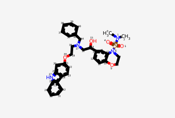 CN(C)S(=O)(=O)N1CCOc2ccc(C(O)CN(CCOc3ccc4c(c3)[nH]c3ccccc34)Cc3ccccc3)cc21